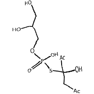 CC(=O)CC(O)(SP(=O)(O)OCC(O)CO)C(C)=O